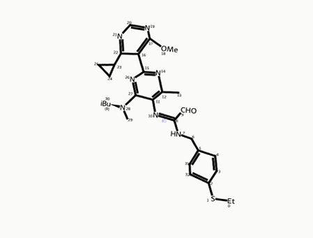 CCSc1ccc(CN/C(C=O)=N/c2c(C)nc(-c3c(OC)ncnc3C3CC3)nc2N(C)[C@H](C)CC)cc1